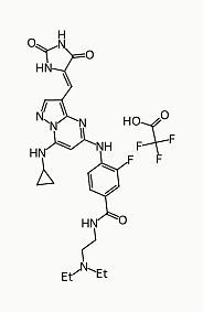 CCN(CC)CCNC(=O)c1ccc(Nc2cc(NC3CC3)n3ncc(C=C4NC(=O)NC4=O)c3n2)c(F)c1.O=C(O)C(F)(F)F